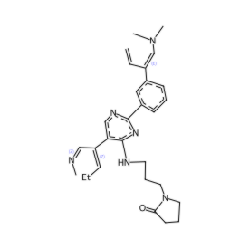 C=C/C(=C\N(C)C)c1cccc(-c2ncc(C(/C=N\C)=C/CC)c(NCCCN3CCCC3=O)n2)c1